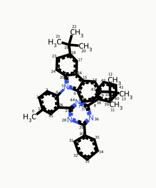 Cc1ccc(-n2c3ccc(C(C)(C)C)cc3c3cc(C(C)(C)C)ccc32)c(-c2nc(-c3ccccc3)nc(-c3ccccc3)n2)c1